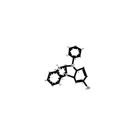 BrC1=CC2C(C=C1)N(c1ccccc1)c1nc3ccccc3n12